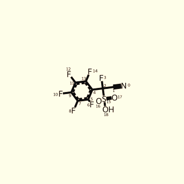 N#CC(F)(c1c(F)c(F)c(F)c(F)c1F)S(=O)(=O)O